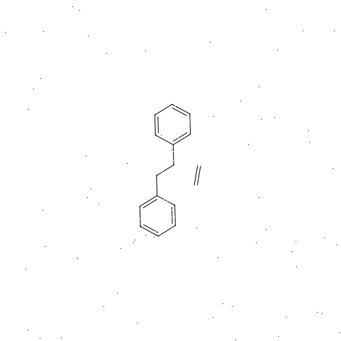 C=C.c1ccc(CCc2ccccc2)cc1